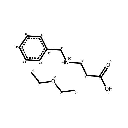 CCOCC.O=C(O)CCNCc1ccccc1